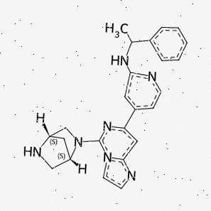 CC(Nc1cc(-c2cc3nccn3c(N3C[C@@H]4C[C@H]3CN4)n2)ccn1)c1ccccc1